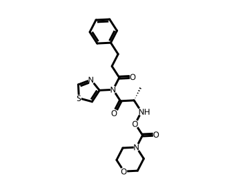 C[C@H](NOC(=O)N1CCOCC1)C(=O)N(C(=O)CCc1ccccc1)c1cscn1